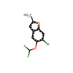 O=C(O)c1cc2cc(OC(F)F)c(Br)cc2s1